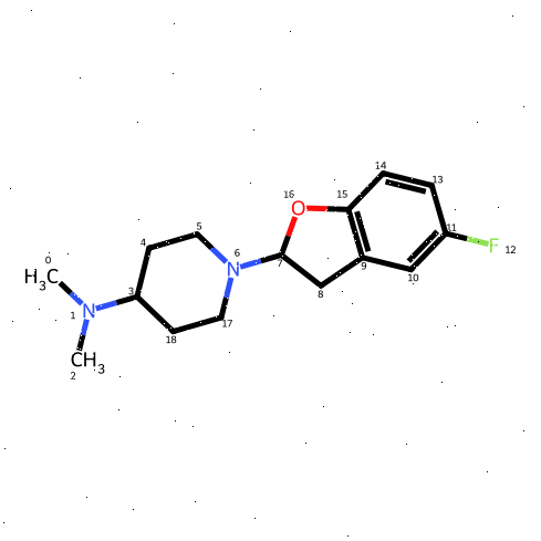 CN(C)C1CCN(C2Cc3cc(F)ccc3O2)CC1